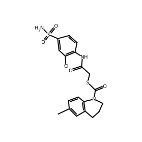 Cc1ccc2c(c1)CCCN2C(=O)SCC(=O)Nc1ccc(S(N)(=O)=O)cc1Cl